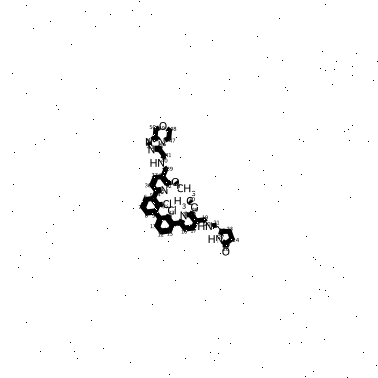 COc1nc(-c2cccc(-c3cccc(-c4ccc(CNC[C@@H]5CCC(=O)N5)c(OC)n4)c3Cl)c2Cl)ccc1CNCc1nnc2n1CCOC2